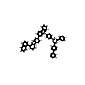 c1ccc(-c2ccc(-c3nc(-c4ccccc4)nc(-c4ccc(-n5c6ccccc6c6ccc(-c7ccc8c(c7)oc7c(-c9cccc%10ccccc9%10)cccc78)cc65)cc4)n3)cc2)cc1